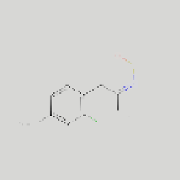 COc1ccc(C/C(C)=N\[S@+]([O-])C(C)(C)C)c(Cl)c1